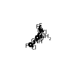 NS(=O)(=O)c1cc(NC(=O)Cc2ccc(F)cc2Cl)ccc1COc1nn(C(F)F)cc1Cl